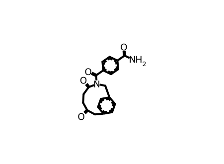 NC(=O)c1ccc(C(=O)N2Cc3ccc(cc3)CC(=O)CCC2=O)cc1